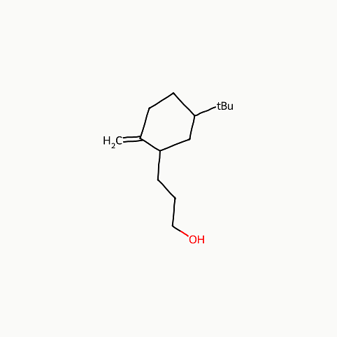 C=C1CCC(C(C)(C)C)CC1CCCO